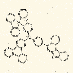 c1ccc2c(c1)-c1ccccc1C21c2ccccc2-c2ccc(N(c3ccc(-c4cc5oc6ccccc6c5c5ccccc45)cc3)c3ccc4c5ccccc5c5ccccc5c4c3)cc21